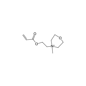 C=CC(=O)OCC[N+]1(C)CCOCC1